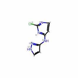 Clc1nccc(Nc2cc[nH]n2)n1